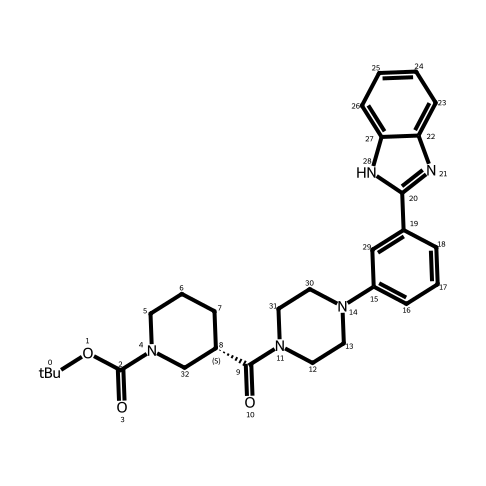 CC(C)(C)OC(=O)N1CCC[C@H](C(=O)N2CCN(c3cccc(-c4nc5ccccc5[nH]4)c3)CC2)C1